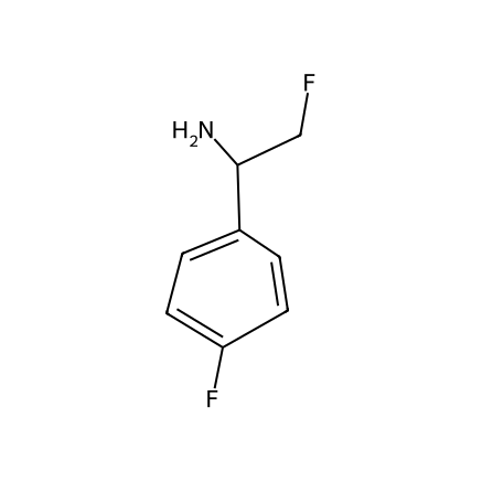 NC(CF)c1ccc(F)cc1